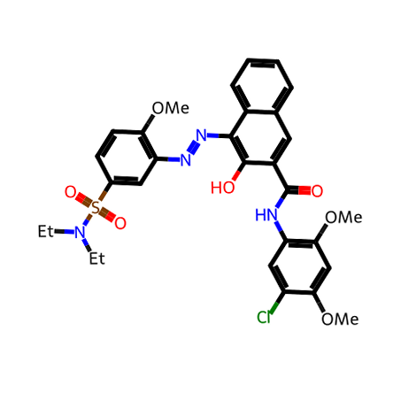 CCN(CC)S(=O)(=O)c1ccc(OC)c(/N=N/c2c(O)c(C(=O)Nc3cc(Cl)c(OC)cc3OC)cc3ccccc23)c1